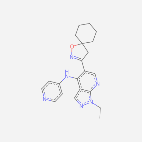 CCn1ncc2c(Nc3ccncc3)c(C3=NOC4(CCCCC4)C3)cnc21